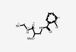 CSC(CNC(=O)c1ccccc1F)C(=O)NCC#N